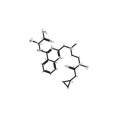 CCN(CCN(C)Cc1nc(N[C@H](C(N)=O)C(C)C)c2ccccc2n1)C(=O)CC1CC1